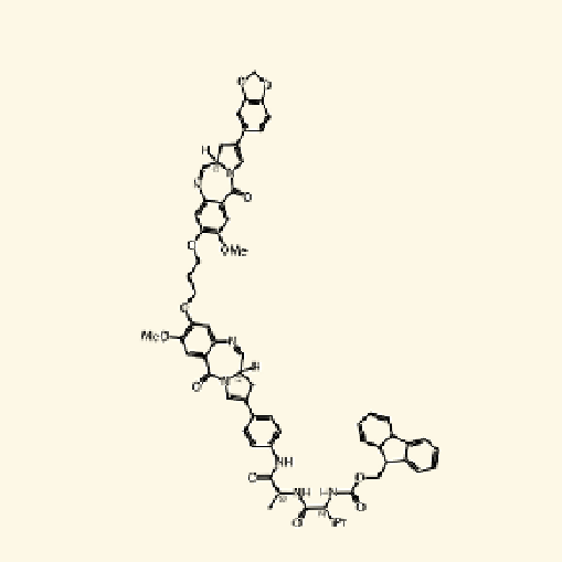 COc1cc2c(cc1OCCCOc1cc3c(cc1OC)C(=O)N1C=C(c4ccc5c(c4)OCO5)C[C@H]1C=N3)N=C[C@@H]1CC(c3ccc(NC(=O)[C@H](C)NC(=O)[C@@H](NC(=O)OCC4c5ccccc5C5C=CC=CC54)C(C)C)cc3)=CN1C2=O